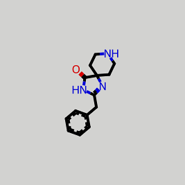 O=C1NC(Cc2ccccc2)=NC12CCNCC2